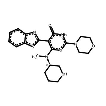 CN(c1nc(N2CCOCC2)[nH]c(=O)c1-c1nc2ccccc2s1)[C@@H]1CCCNC1